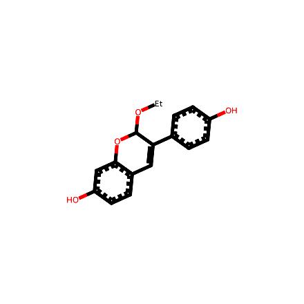 CCOC1Oc2cc(O)ccc2C=C1c1ccc(O)cc1